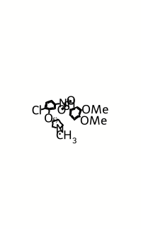 COc1ccc(S(=O)(=O)Nc2ccc(Cl)c(O[C@H]3CCN(C)C3)c2)cc1OC